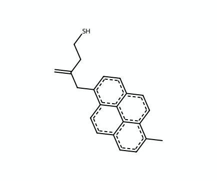 C=C(CCS)Cc1ccc2ccc3c(C)ccc4ccc1c2c43